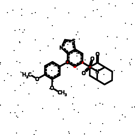 COc1ccc(OCCN2CC3CCCC(C2=O)N3S(=O)(=O)c2ccc3ncsc3c2)cc1OC